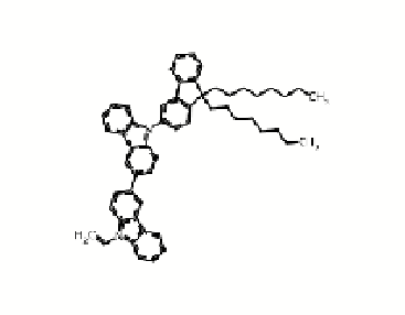 C=Cn1c2ccccc2c2cc(-c3ccc4c(c3)c3ccccc3n4-c3ccc4c(c3)-c3ccccc3C4(CCCCCCCC)CCCCCCCC)ccc21